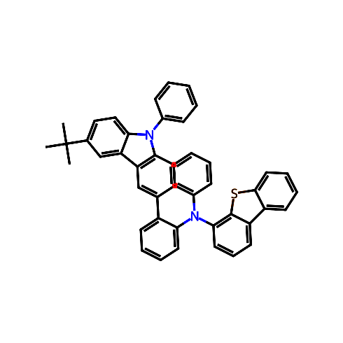 CC(C)(C)c1ccc2c(c1)c1cc(-c3ccccc3N(c3ccccc3)c3cccc4c3sc3ccccc34)ccc1n2-c1ccccc1